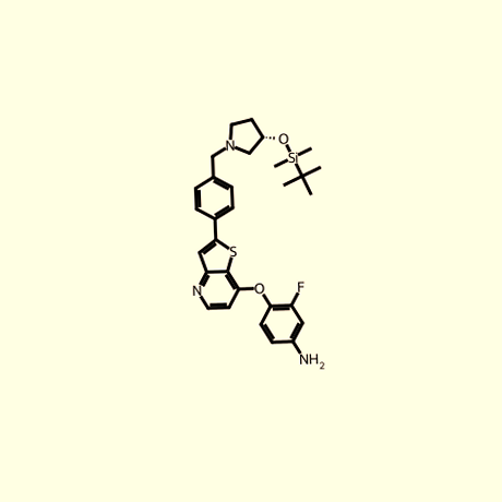 CC(C)(C)[Si](C)(C)O[C@H]1CCN(Cc2ccc(-c3cc4nccc(Oc5ccc(N)cc5F)c4s3)cc2)C1